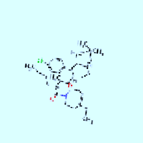 C=C(C(=O)[C@@H]1CC/C(=C/C(C)(C)C)C[C@H]1c1ccc(Cl)cc1)[C@@H](CCCC)C(=O)N1CCC=C(CC)CC1